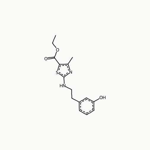 CCOC(=O)c1sc(NCCc2cccc(O)c2)nc1C